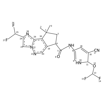 CC1(C)CC(C(=O)NC2=CNC(OC(F)F)C(C#N)=C2)c2cnn3cc(C(F)F)nc3c21